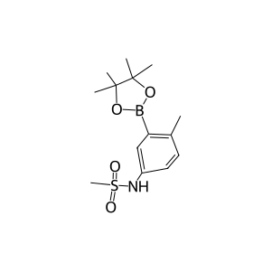 Cc1ccc(NS(C)(=O)=O)cc1B1OC(C)(C)C(C)(C)O1